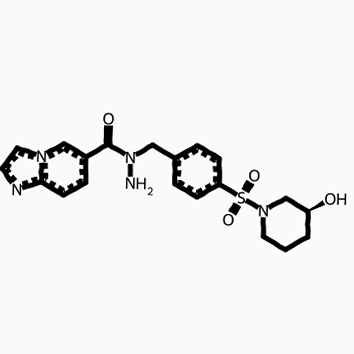 NN(Cc1ccc(S(=O)(=O)N2CCC[C@H](O)C2)cc1)C(=O)c1ccc2nccn2c1